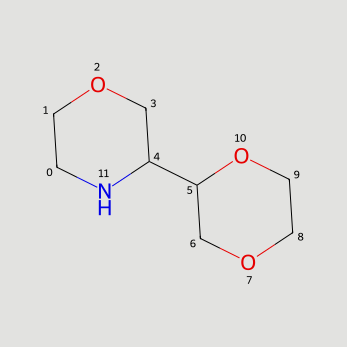 C1COCC(C2COCCO2)N1